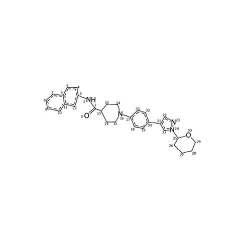 O=C(Nc1ccc2ccccc2c1)C1CCN(c2ccc(-c3cnn(C4CCCCO4)c3)cc2)CC1